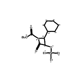 CC[Si](CC)(CC)OC1C(=O)N(C(=O)OCC(C)C)C1C1CCCCC1